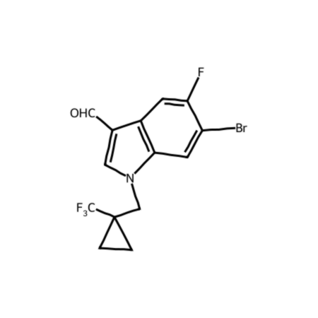 O=Cc1cn(CC2(C(F)(F)F)CC2)c2cc(Br)c(F)cc12